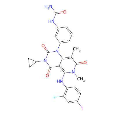 Cc1c(=O)n(C)c(Nc2ccc(I)cc2F)c2c(=O)n(C3CC3)c(=O)n(-c3cccc(NC(N)=O)c3)c12